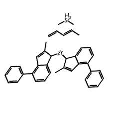 C=CC=CC.CC1=Cc2c(-c3ccccc3)cccc2[CH]1[Zr][CH]1C(C)=Cc2c(-c3ccccc3)cccc21.C[SiH2]C